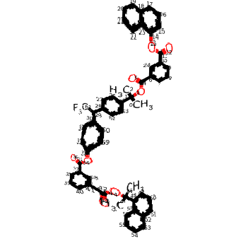 CC(C)(OC(=O)c1cccc(C(=O)Oc2cccc3ccccc23)c1)c1ccc(C(c2ccc(OC(=O)c3cccc(C(=O)OC(C)(C)c4cccc5ccccc45)c3)cc2)C(F)(F)F)cc1